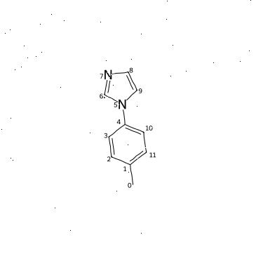 Cc1ccc(-n2[c]ncc2)cc1